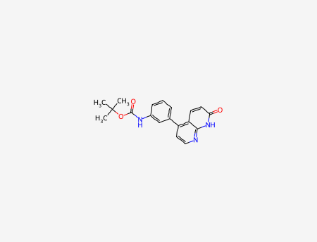 CC(C)(C)OC(=O)Nc1cccc(-c2ccnc3[nH]c(=O)ccc23)c1